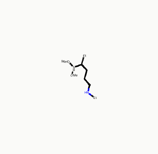 CCNCCCC(CC)[SiH](OC)OC